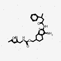 Cc1cc(CNC(=O)OCC2CCc3c(sc(NC(=O)CC(C)c4ccccc4)c3N)C2)no1